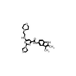 Cc1[nH]c2ccc(NC(=O)c3cc(NCCN4CCOCC4)nc(N4CCSC4)n3)cc2c1C